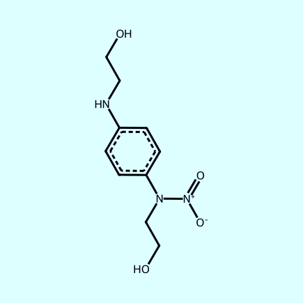 O=[N+]([O-])N(CCO)c1ccc(NCCO)cc1